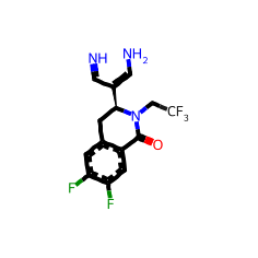 N=C/C(=C\N)[C@@H]1Cc2cc(F)c(F)cc2C(=O)N1CC(F)(F)F